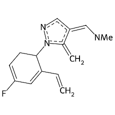 C=CC1=CC(F)=CCC1n1nc/c(=C/NC)c1=C